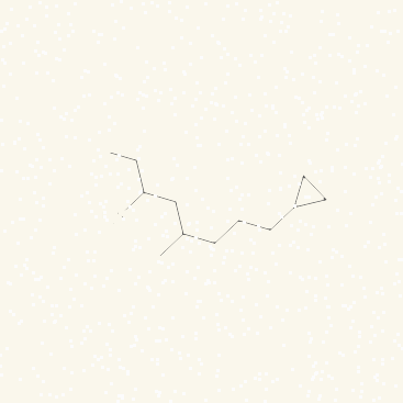 CC(CCCC1CC1)CC(N)CC(=O)O